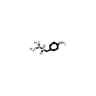 CN(C)S(=O)(=O)Cc1ccc(N)cc1